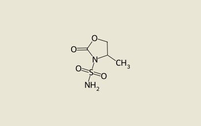 CC1COC(=O)N1S(N)(=O)=O